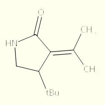 CC(C)=C1C(=O)NCC1C(C)(C)C